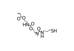 C=CC(=O)OCCNC(=O)OCCN(C)C(=O)NCCCS